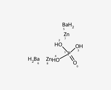 O=P(O)(O)O.[BaH2].[BaH2].[Zn].[Zn]